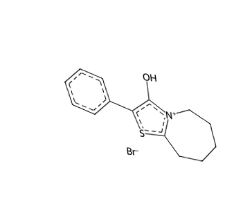 Oc1c(-c2ccccc2)sc2[n+]1CCCCC2.[Br-]